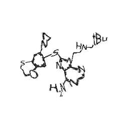 CC(C)(C)CNCCn1c(Sc2cc3c(cc2N2CC2)SCCO3)nc2c(N)ncnc21